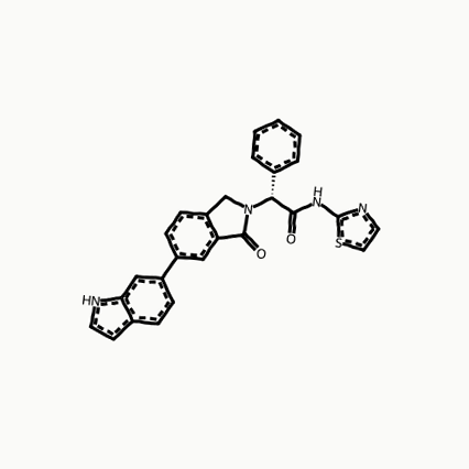 O=C(Nc1nccs1)[C@@H](c1ccccc1)N1Cc2ccc(-c3ccc4cc[nH]c4c3)cc2C1=O